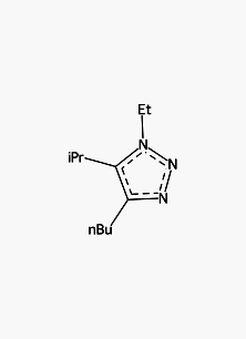 CCCCc1nnn(CC)c1C(C)C